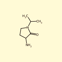 CC(C)N1CCC(N)C1=O